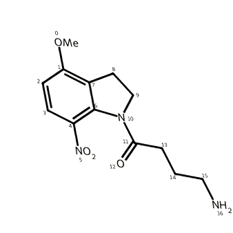 COc1ccc([N+](=O)[O-])c2c1CCN2C(=O)CCCN